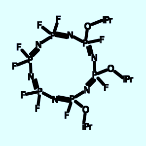 CC(C)OP1(F)=NP(F)(F)=NP(F)(F)=NP(F)(F)=NP(F)(OC(C)C)=NP(F)(OC(C)C)=N1